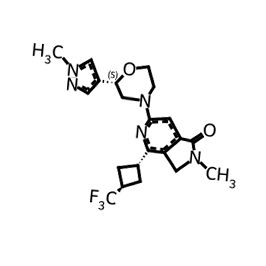 CN1Cc2c(cc(N3CCO[C@@H](c4cnn(C)c4)C3)nc2[C@H]2C[C@H](C(F)(F)F)C2)C1=O